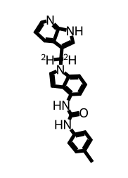 [2H]C([2H])(c1c[nH]c2ncccc12)n1ccc2c(NC(=O)Nc3ccc(C)cc3)cccc21